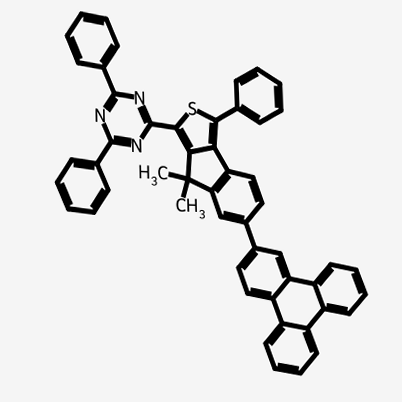 CC1(C)c2cc(-c3ccc4c5ccccc5c5ccccc5c4c3)ccc2-c2c(-c3ccccc3)sc(-c3nc(-c4ccccc4)nc(-c4ccccc4)n3)c21